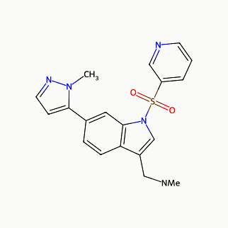 CNCc1cn(S(=O)(=O)c2cccnc2)c2cc(-c3ccnn3C)ccc12